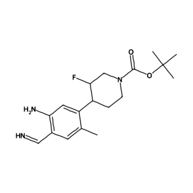 Cc1cc(C=N)c(N)cc1C1CCN(C(=O)OC(C)(C)C)CC1F